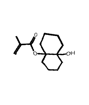 C=C(C)C(=O)OC12CCCCC1(O)CCCC2